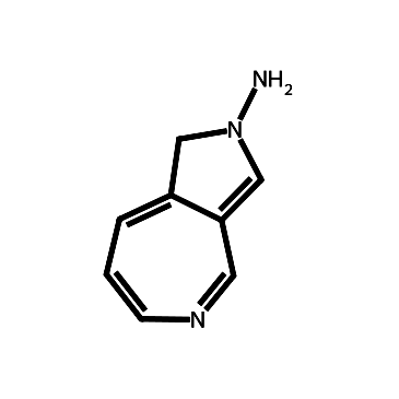 NN1C=C2C=NC=CC=C2C1